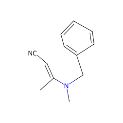 CC(=CC#N)N(C)Cc1ccccc1